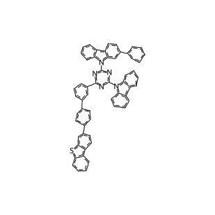 c1ccc(-c2ccc3c4ccccc4n(-c4nc(-c5cccc(-c6ccc(-c7ccc8c(c7)sc7ccccc78)cc6)c5)nc(-n5c6ccccc6c6ccccc65)n4)c3c2)cc1